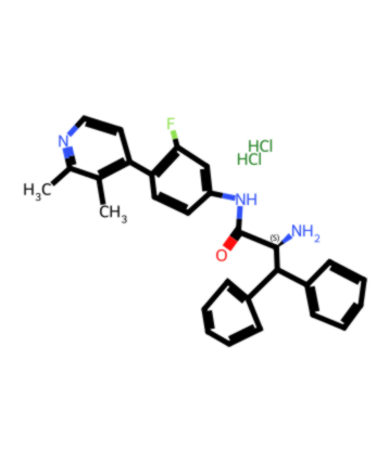 Cc1nccc(-c2ccc(NC(=O)[C@@H](N)C(c3ccccc3)c3ccccc3)cc2F)c1C.Cl.Cl